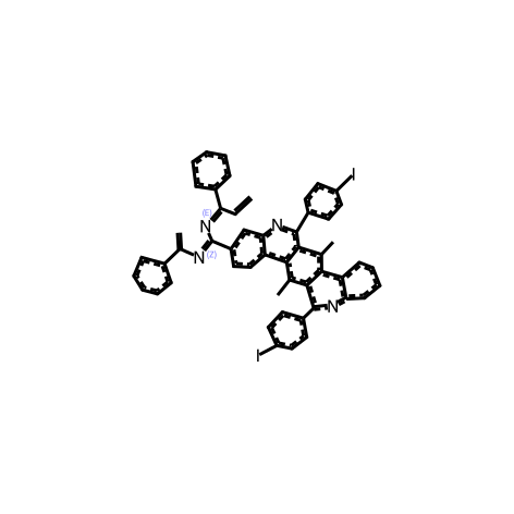 C=C/C(=N\C(=N/C(=C)c1ccccc1)c1ccc2c(c1)nc(-c1ccc(I)cc1)c1c(C)c3c(c(-c4ccc(I)cc4)nc4ccccc43)c(C)c12)c1ccccc1